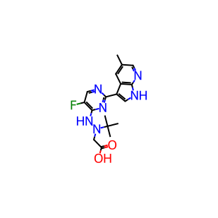 Cc1cnc2[nH]cc(-c3ncc(F)c(NN(CC(=O)O)C(C)(C)C)n3)c2c1